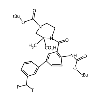 CC(C)(C)OC(=O)Nc1ccc(-c2cccc(C(F)F)c2)cc1C(=O)N1CCN(C(=O)OC(C)(C)C)CC1(C)C(=O)O